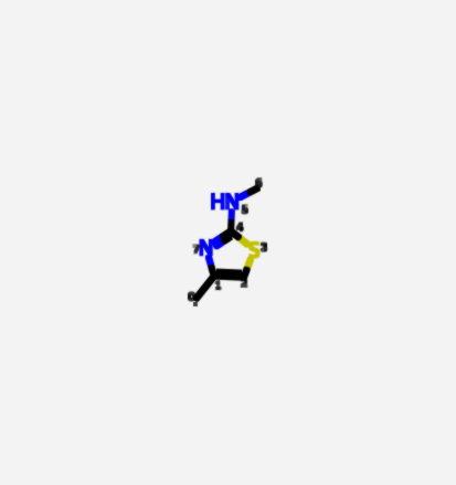 [CH2]c1csc(NC)n1